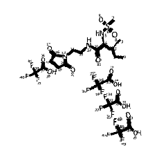 CC[C@H](C)[C@H](NS(C)(=O)=O)C(=O)NCCN1C(=O)C=CC1=O.O=C(O)C(F)(F)F.O=C(O)C(F)(F)F.O=C(O)C(F)(F)F.O=C(O)C(F)(F)F